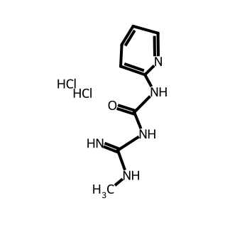 CNC(=N)NC(=O)Nc1ccccn1.Cl.Cl